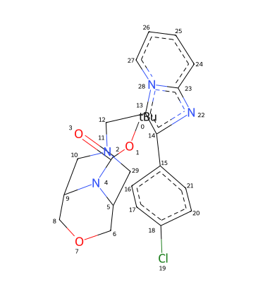 CC(C)(C)OC(=O)N1C2COCC1CN(Cc1c(-c3ccc(Cl)cc3)nc3ccccn13)C2